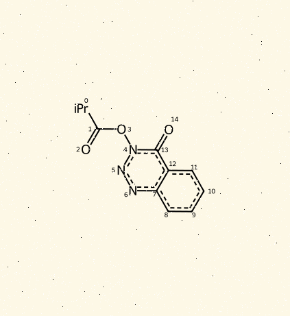 CC(C)C(=O)On1nnc2ccccc2c1=O